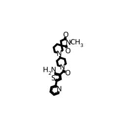 CN1C(=O)CC2(CCCN(C3CCN(C(=O)c4cc(-c5ccccn5)sc4N)CC3)C2)C1=O